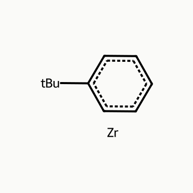 CC(C)(C)c1ccccc1.[Zr]